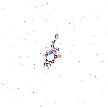 CCn1c(-c2cccnc2COC)c2c3cc(ccc31)-c1cc(O)cc(c1)C[C@H](NC(=O)C(C(C)C)N(C)C(=O)[C@H]1CCN(C(=O)/C=C/CN3CCN(C)CC3)C1)C(=O)N1CCC[C@H](N1)C(=O)OCC(C)(C)C2